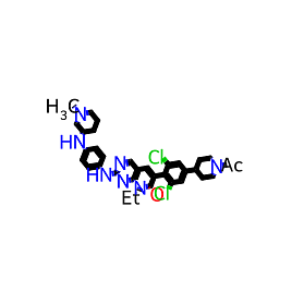 CCn1c(=O)c(-c2c(Cl)cc(C3CCN(C(C)=O)CC3)cc2Cl)cc2cnc(Nc3ccc(NC4CCCN(C)C4)cc3)nc21